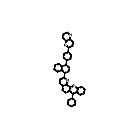 c1ccc(-c2c3ccccc3nc3c2ccc2ccc(-c4ccc(-c5ccc(-c6ccc7ncccc7n6)cc5)c5ccccc45)nc23)cc1